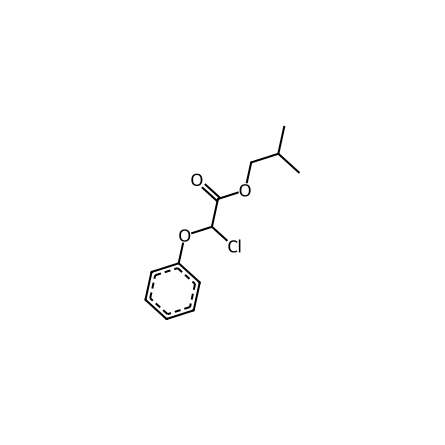 CC(C)COC(=O)C(Cl)Oc1ccccc1